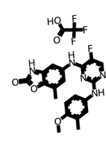 COc1ccc(Nc2ncc(F)c(Nc3cc(C)c4oc(=O)[nH]c4c3)n2)cc1C.O=C(O)C(F)(F)F